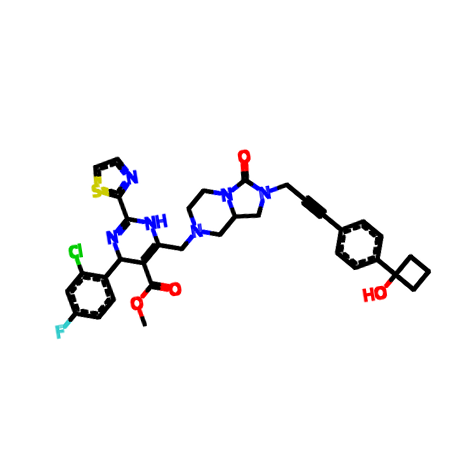 COC(=O)C1=C(CN2CCN3C(=O)N(CC#Cc4ccc(C5(O)CCC5)cc4)CC3C2)NC(c2nccs2)=NC1c1ccc(F)cc1Cl